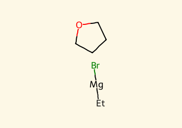 C1CCOC1.C[CH2][Mg][Br]